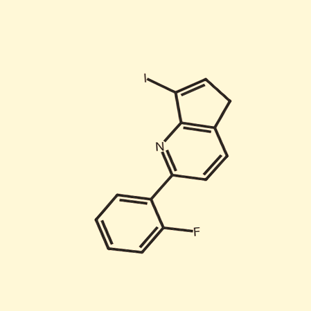 Fc1ccccc1-c1ccc2c(n1)C(I)=CC2